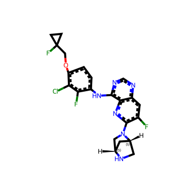 Fc1cc2ncnc(Nc3ccc(OCC4(F)CC4)c(Cl)c3F)c2nc1N1C[C@@H]2C[C@H]1CN2